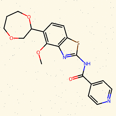 COc1c(C2COCCCO2)ccc2sc(NC(=O)c3ccncc3)nc12